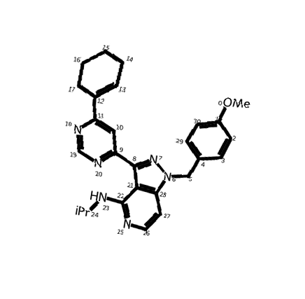 COc1ccc(Cn2nc(-c3cc(C4=CCCCC4)ncn3)c3c(NC(C)C)nccc32)cc1